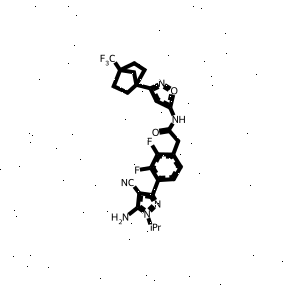 CC(C)n1nc(-c2ccc(CC(=O)Nc3cc(C45CCC(C(F)(F)F)(CC4)C5)no3)c(F)c2F)c(C#N)c1N